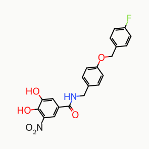 O=C(NCc1ccc(OCc2ccc(F)cc2)cc1)c1cc(O)c(O)c([N+](=O)[O-])c1